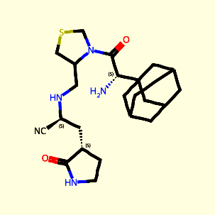 N#C[C@H](C[C@@H]1CCNC1=O)NCC1CSCN1C(=O)[C@@H](N)C12CC3CC(CC(C3)C1)C2